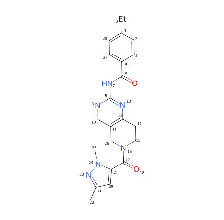 CCc1ccc(C(=O)Nc2ncc3c(n2)CCN(C(=O)c2cc(C)nn2C)C3)cc1